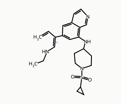 C=C/C(=C\NCC)c1cc(NC2CCN(S(=O)(=O)C3CC3)CC2)c2cnccc2c1